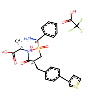 C[C@H](NC(=O)[C@H](Cc1ccc(-c2ccsc2)cc1)CP(=O)(O)[C@@H](N)c1ccccc1)C(=O)O.O=C(O)C(F)(F)F